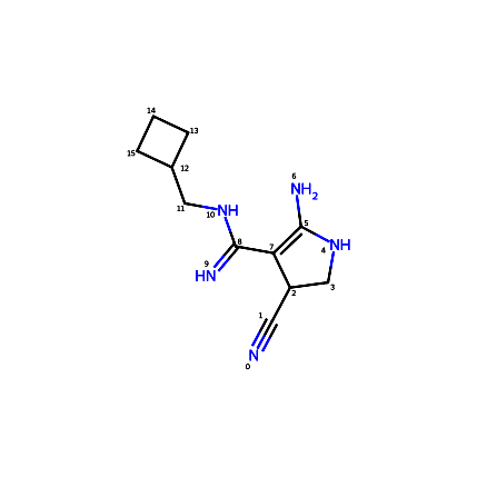 N#CC1CNC(N)=C1C(=N)NCC1CCC1